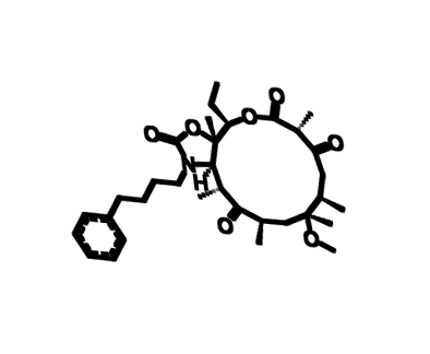 CC[C@H]1OC(=O)[C@H](C)C(=O)C[C@@H](C)[C@](C)(OC)C[C@@H](C)C(=O)[C@H](C)[C@H]2N(CCCCc3ccccc3)C(=O)O[C@]12C